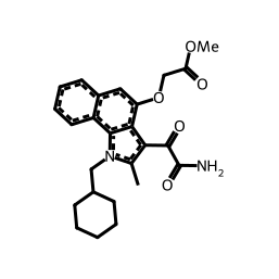 COC(=O)COc1cc2ccccc2c2c1c(C(=O)C(N)=O)c(C)n2CC1CCCCC1